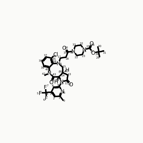 Cc1cc(C(F)(F)F)cc(N2C(=O)C[C@@H]3CN(CCC(=O)N4CCN(C(=O)OC(C)(C)C)CC4)c4c(Cl)cccc4N(C)C(=O)[C@H]32)n1